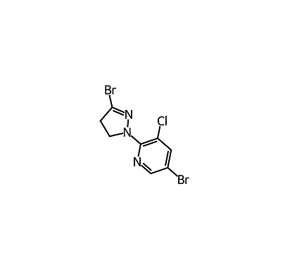 Clc1cc(Br)cnc1N1CCC(Br)=N1